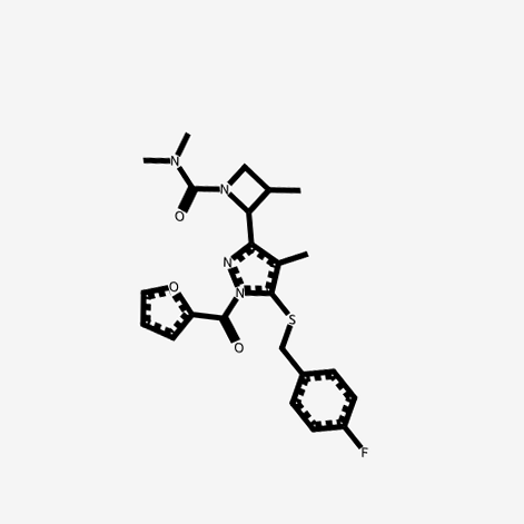 Cc1c(C2C(C)CN2C(=O)N(C)C)nn(C(=O)c2ccco2)c1SCc1ccc(F)cc1